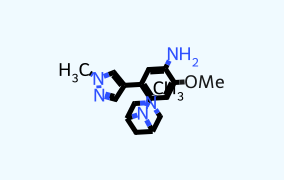 COc1cc(N2C3CC2CN(C)C3)c(-c2cnn(C)c2)cc1N